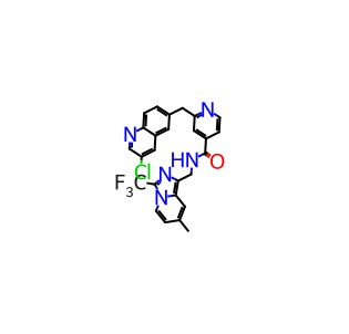 Cc1ccn2c(C(F)(F)F)nc(CNC(=O)c3ccnc(Cc4ccc5ncc(Cl)cc5c4)c3)c2c1